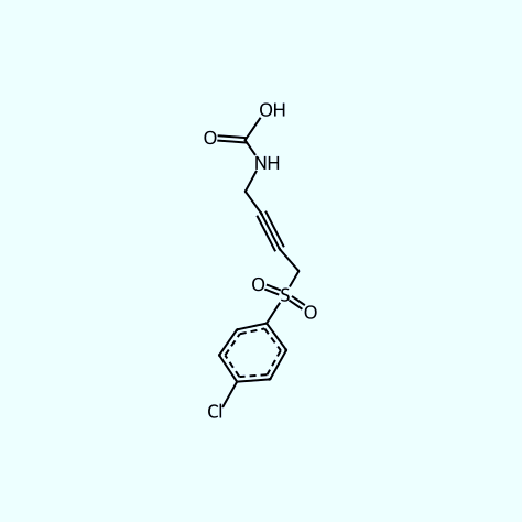 O=C(O)NCC#CCS(=O)(=O)c1ccc(Cl)cc1